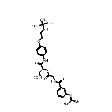 CC(C)(C)C(C)(C)NCCOc1ccc(NC(=O)[C@H](CC(=O)O)NC(=O)CNC(=O)c2cccc(N=C(N)N)c2)cc1